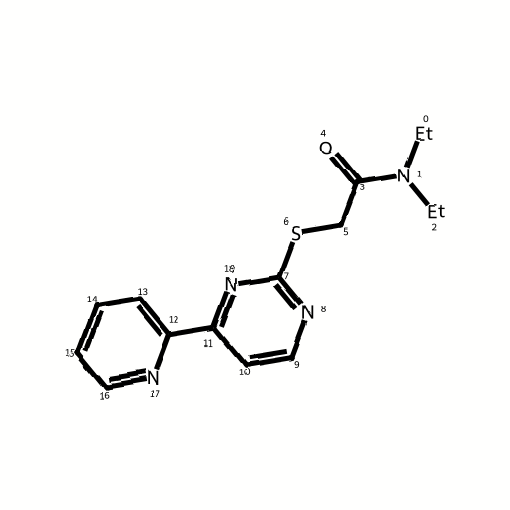 CCN(CC)C(=O)CSc1nccc(-c2ccccn2)n1